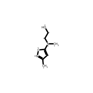 Cc1cc(N(C)CCO)on1